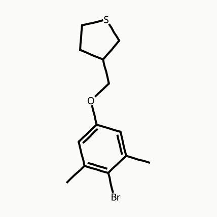 Cc1cc(OCC2CCSC2)cc(C)c1Br